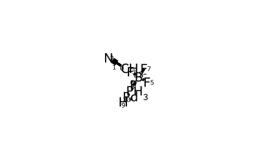 CC#N.F[B-](F)(F)F.P.[H+].[Pd]